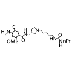 CCCNC(=O)NCCCCCN1CC[C@@H](CNC(=O)c2cc(Cl)c(N)cc2OC)C1